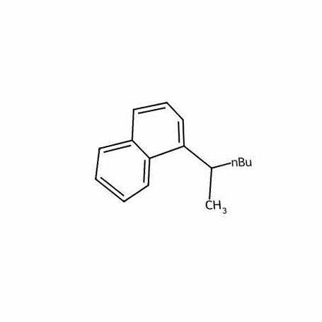 CCCCC(C)c1cccc2ccccc12